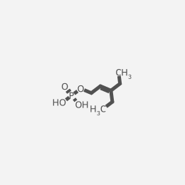 CCC(=CCOP(=O)(O)O)CC